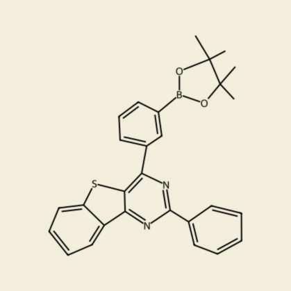 CC1(C)OB(c2cccc(-c3nc(-c4ccccc4)nc4c3sc3ccccc34)c2)OC1(C)C